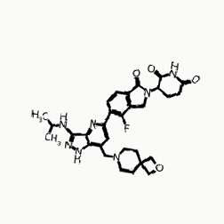 CC(C)Nc1n[nH]c2c(CN3CCC4(CC3)COC4)cc(-c3ccc4c(c3F)CN(C3CCC(=O)NC3=O)C4=O)nc12